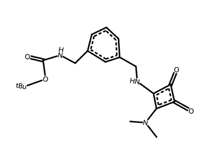 CN(C)c1c(NCc2cccc(CNC(=O)OC(C)(C)C)c2)c(=O)c1=O